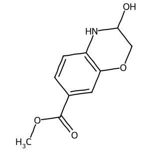 COC(=O)c1ccc2c(c1)OCC(O)N2